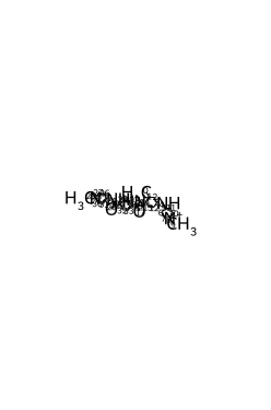 Cc1cc(Nc2cc[n+](C)cc2)ccc1NC(=O)c1ccc(C(=O)Nc2cc[n+](C)cc2)cc1